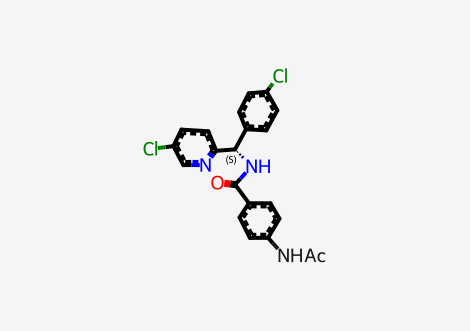 CC(=O)Nc1ccc(C(=O)N[C@@H](c2ccc(Cl)cc2)c2ccc(Cl)cn2)cc1